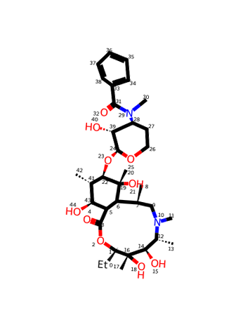 CC[C@H]1OC(=O)C2C([C@@H](C)CN(C)[C@H](C)[C@@H](O)[C@]1(C)O)[C@@](C)(O)[C@H](O[C@@H]1OCC[C@H](N(C)C(=O)c3ccccc3)[C@H]1O)[C@@H](C)[C@@H]2O